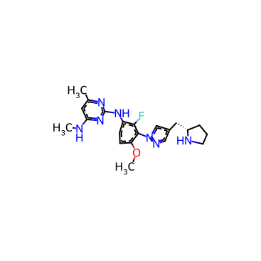 CNc1cc(C)nc(Nc2ccc(OC)c(-n3cc(C[C@@H]4CCCN4)cn3)c2F)n1